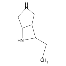 CCC1NC2CNCC12